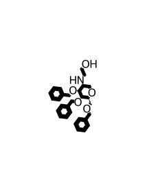 OCCN[C@@H]1CO[C@H](COCc2ccccc2)[C@H](OCc2ccccc2)[C@@H]1OCc1ccccc1